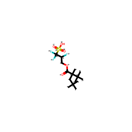 CC(C)(C)CC(C)(C(=O)OCC(F)C(F)(F)S(=O)(=O)O)C(C)(C)C